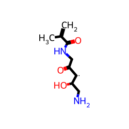 C=C(C)C(=O)NCC(=O)[CH]C(O)CN